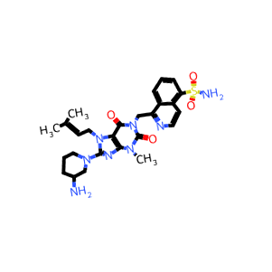 CC(C)=CCn1c(N2CCCC(N)C2)nc2c1c(=O)n(Cc1nccc3c(S(N)(=O)=O)cccc13)c(=O)n2C